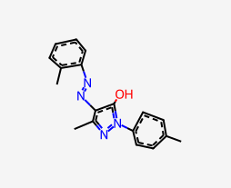 Cc1ccc(-n2nc(C)c(N=Nc3ccccc3C)c2O)cc1